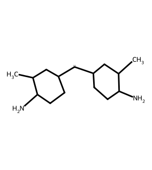 CC1CC([C]C2CCC(N)C(C)C2)CCC1N